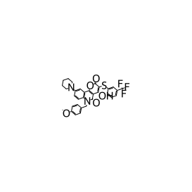 COc1ccc(Cn2c(=O)c3c(O)c(Sc4cccc(C(F)(F)F)c4)c(=O)oc3c3cc(N4CCCCC4)ccc32)cc1